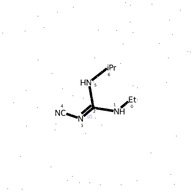 CCN/C(=N/C#N)NC(C)C